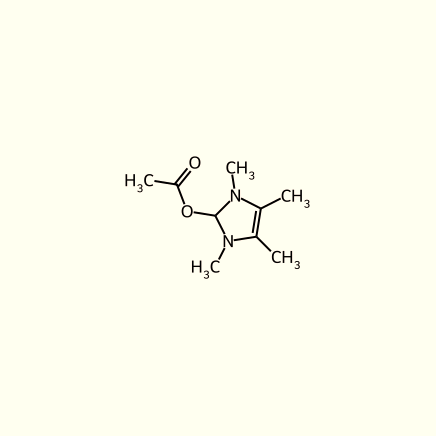 CC(=O)OC1N(C)C(C)=C(C)N1C